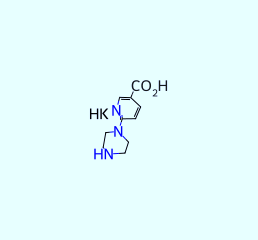 O=C(O)c1ccc(N2CCNCC2)nc1.[KH]